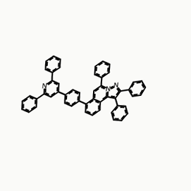 c1ccc(-c2cc(-c3ccc(-c4cccc5c4cc(-c4ccccc4)n4nc(-c6ccccc6)c(-c6ccccc6)c54)cc3)cc(-c3ccccc3)n2)cc1